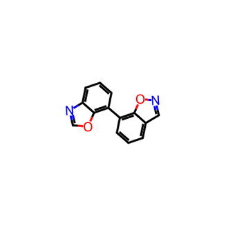 c1cc(-c2cccc3ncoc23)c2oncc2c1